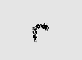 N#Cc1ccc(N2CCN(C(=S)CO[C@H]3CC[C@H](Oc4ccc([N+](=O)[O-])c(C(F)(F)F)c4)CC3)CC2)nc1